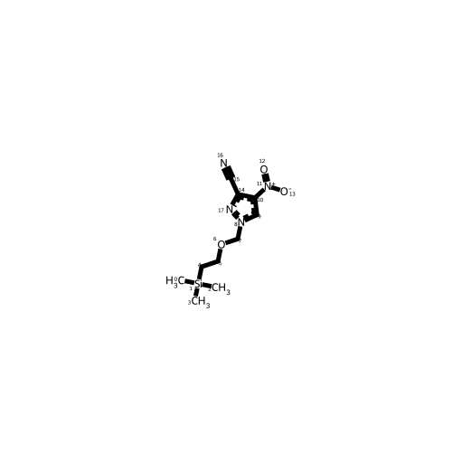 C[Si](C)(C)CCOCn1cc([N+](=O)[O-])c(C#N)n1